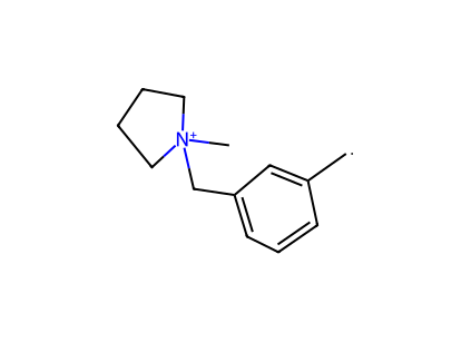 [CH2]c1cccc(C[N+]2(C)CCCC2)c1